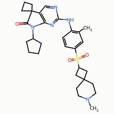 Cc1cc(S(=O)(=O)C2CC3(CCN(C)CC3)C2)ccc1Nc1ncc2c(n1)N(C1CCCC1)C(=O)C21CCC1